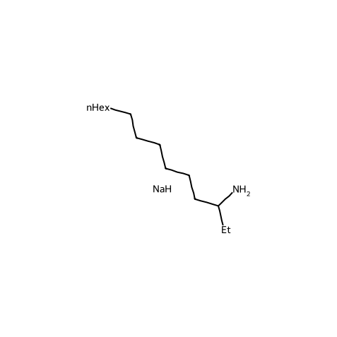 CCCCCCCCCCCCC(N)CC.[NaH]